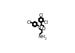 NCCC1CN(c2ccc(Cl)cc2)C(c2ccc(Cl)cc2Cl)CO1